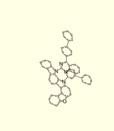 c1ccc(-c2ccc(-c3nc(-n4c5ccccc5c5ccc6c7c8c(ccc7n(-c7cccc(-c9ccccc9)c7)c6c54)oc4ccccc48)nc4ccccc34)cc2)cc1